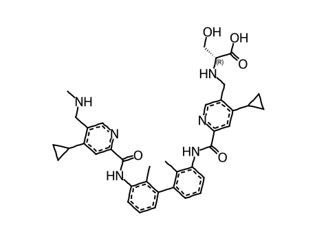 CNCc1cnc(C(=O)Nc2cccc(-c3cccc(NC(=O)c4cc(C5CC5)c(CN[C@H](CO)C(=O)O)cn4)c3C)c2C)cc1C1CC1